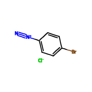 N#[N+]c1ccc(Br)cc1.[Cl-]